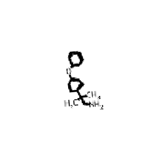 CC(C)(CN)c1ccc(Oc2ccccc2)cc1